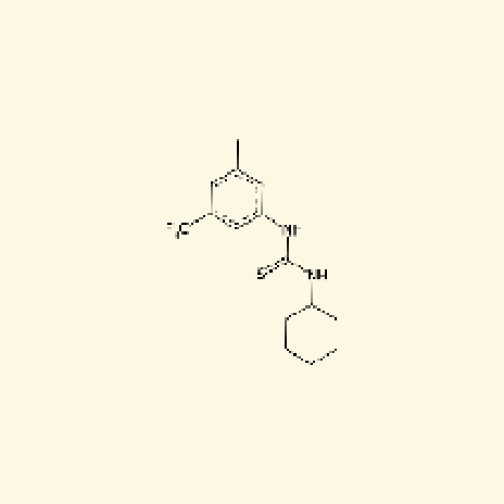 Cc1cc(NC(=S)NC2CCCCC2)cc(C(F)(F)F)c1